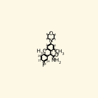 Cc1cc(N2CCOCC2)cc(C)c1C(C(N)=O)c1cccc(F)c1